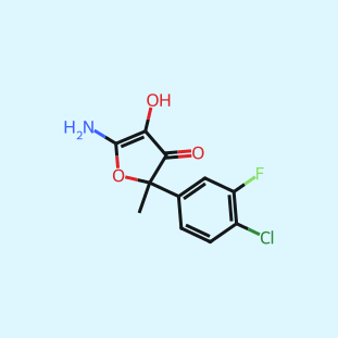 CC1(c2ccc(Cl)c(F)c2)OC(N)=C(O)C1=O